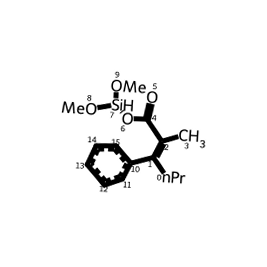 CCCC(=C(C)C(=O)O[SiH](OC)OC)c1ccccc1